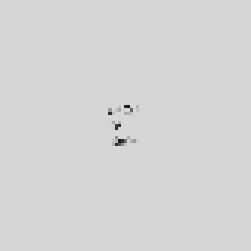 [O-2].[O-2].[Sm+3].[Zr+4]